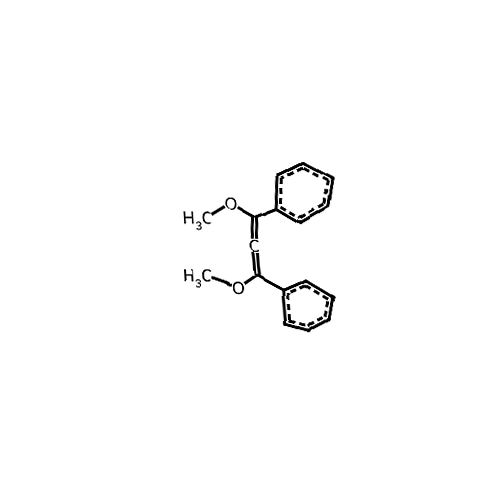 COC(=C=C(OC)c1ccccc1)c1ccccc1